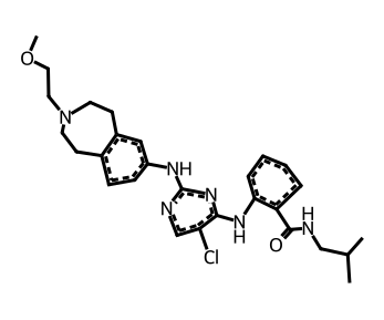 COCCN1CCc2ccc(Nc3ncc(Cl)c(Nc4ccccc4C(=O)NCC(C)C)n3)cc2CC1